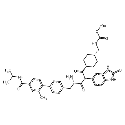 Cc1nc(C(=O)NC(C)C(F)(F)F)ccc1-c1ccc(C[C@H](N)C(=O)N(c2ccc3[nH]c(=O)[nH]c3c2)C(=O)[C@H]2CC[C@H](CNC(=O)OC(C)(C)C)CC2)cc1